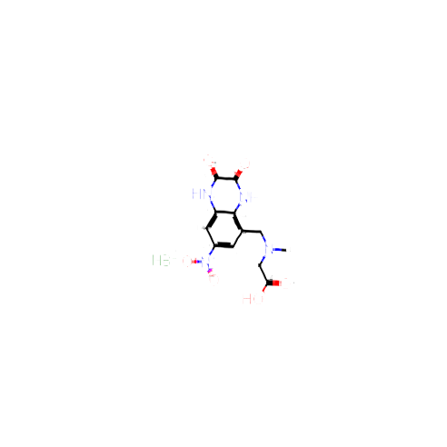 Br.CN(CC(=O)O)Cc1cc([N+](=O)[O-])cc2[nH]c(=O)c(=O)[nH]c12